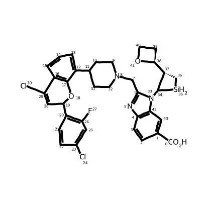 O=C(O)c1ccc2nc(CN3CCC(c4cccc5c4OC(c4ccc(Cl)cc4F)C=C5Cl)CC3)n(C3[SiH2]C[C@H]3[C@@H]3CCO3)c2c1